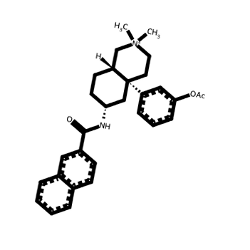 CC(=O)Oc1cccc([C@@]23CC[N+](C)(C)C[C@H]2CC[C@@H](NC(=O)c2ccc4ccccc4c2)C3)c1